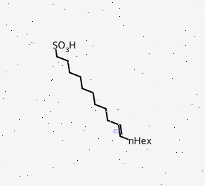 CCCCCC/C=C/CCCCCCCCCS(=O)(=O)O